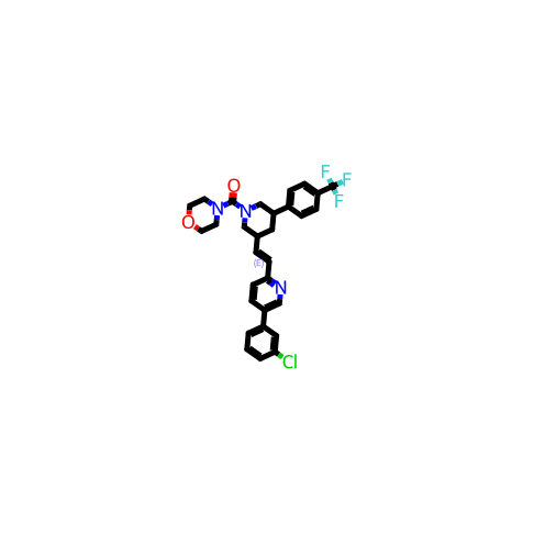 O=C(N1CCOCC1)N1CC(/C=C/c2ccc(-c3cccc(Cl)c3)cn2)CC(c2ccc(C(F)(F)F)cc2)C1